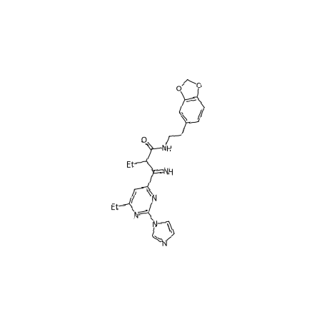 CCc1cc(C(=N)C(CC)C(=O)NCCc2ccc3c(c2)OCO3)nc(-n2ccnc2)n1